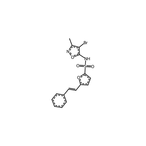 Cc1noc(NS(=O)(=O)c2ccc(/C=C/c3ccccc3)o2)c1Br